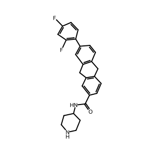 O=C(NC1CCNCC1)c1ccc2c(c1)Cc1cc(-c3ccc(F)cc3F)ccc1C2